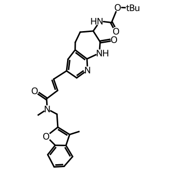 Cc1c(CN(C)C(=O)/C=C/c2cnc3c(c2)CCC(NC(=O)OC(C)(C)C)C(=O)N3)oc2ccccc12